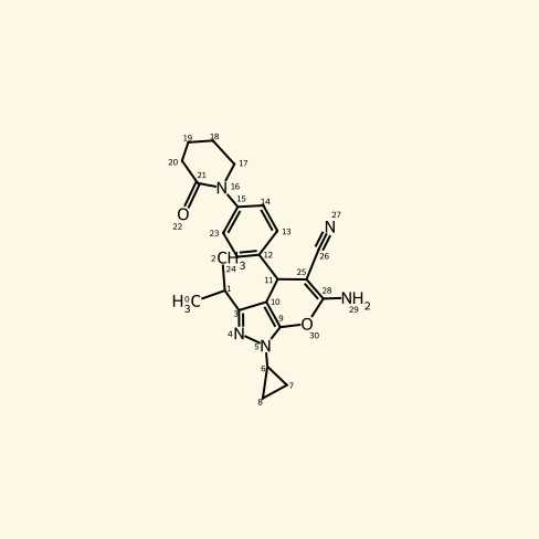 CC(C)c1nn(C2CC2)c2c1C(c1ccc(N3CCCCC3=O)cc1)C(C#N)=C(N)O2